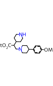 CCOC(=O)C(CN1CCC(c2ccc(OC)cc2)CC1)C1CCNCC1